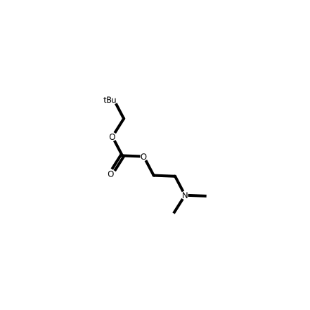 CN(C)CCOC(=O)OCC(C)(C)C